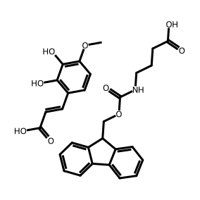 COc1ccc(C=CC(=O)O)c(O)c1O.O=C(O)CCCNC(=O)OCC1c2ccccc2-c2ccccc21